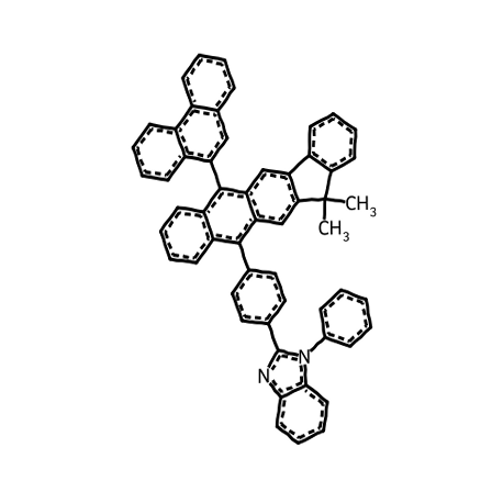 CC1(C)c2ccccc2-c2cc3c(-c4cc5ccccc5c5ccccc45)c4ccccc4c(-c4ccc(-c5nc6ccccc6n5-c5ccccc5)cc4)c3cc21